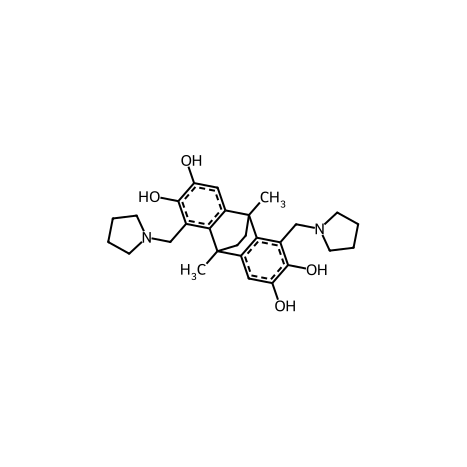 CC12CCC(C)(c3cc(O)c(O)c(CN4CCCC4)c31)c1c2cc(O)c(O)c1CN1CCCC1